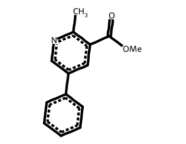 COC(=O)c1cc(-c2ccccc2)cnc1C